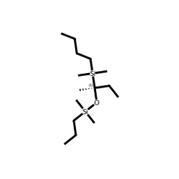 CCCC[Si](C)(C)[C@@](C)(CC)O[Si](C)(C)CCC